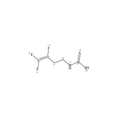 FC(F)=C(F)CCNC(=S)S